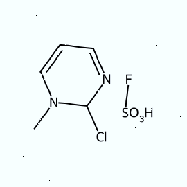 CN1C=CC=NC1Cl.O=S(=O)(O)F